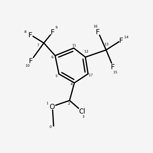 COC(Cl)c1cc(C(F)(F)F)cc(C(F)(F)F)c1